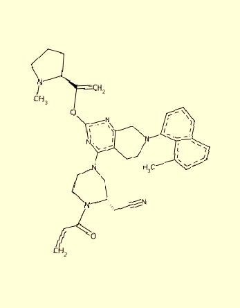 C=CC(=O)N1CCN(c2nc(OC(=C)[C@@H]3CCCN3C)nc3c2CCN(c2cccc4cccc(C)c24)C3)C[C@@H]1CC#N